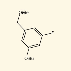 COCc1cc(F)cc(OCC(C)C)c1